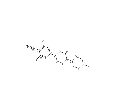 Cc1cc(C2CCC(C3CCC(C)CC3)CC2)cc(C)c1C#N